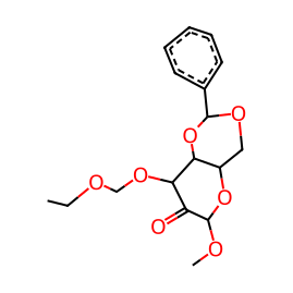 CCOCOC1C(=O)C(OC)OC2COC(c3ccccc3)OC21